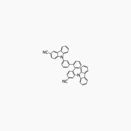 N#Cc1ccc(-c2ccccc2-c2cccc(-n3c4ccccc4c4cc(C#N)ccc43)c2)c(-n2c3ccccc3c3ccccc32)c1